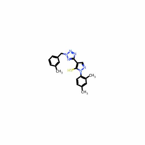 Cc1cccc(Cn2nnc(-c3cnn(-c4ccc(C)cc4C)c3S)n2)c1